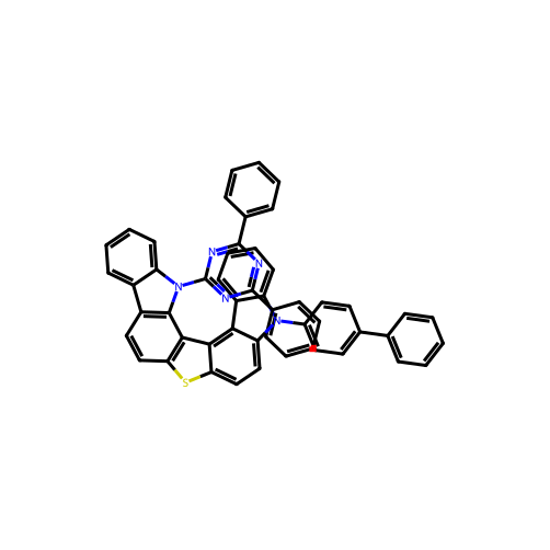 c1ccc(-c2ccc(-n3c4ccccc4c4c5c(ccc43)sc3ccc4c6ccccc6n(-c6nc(-c7ccccc7)nc(-c7ccccc7)n6)c4c35)cc2)cc1